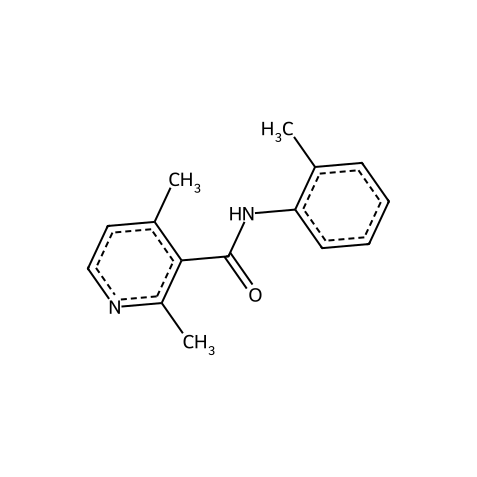 Cc1ccccc1NC(=O)c1c(C)ccnc1C